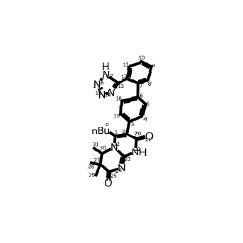 CCCCC1=C(c2ccc(-c3ccccc3-c3nnn[nH]3)cc2)C(=O)NC2=NC(=O)C(C)(C)C(C)N21